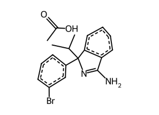 CC(=O)O.CC(C)C1(c2cccc(Br)c2)N=C(N)c2ccccc21